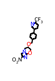 O=[N+]([O-])c1cn2c(n1)OC[C@@H](OCc1ccc(-c3ccc(C(F)(F)F)nc3)cc1)C2